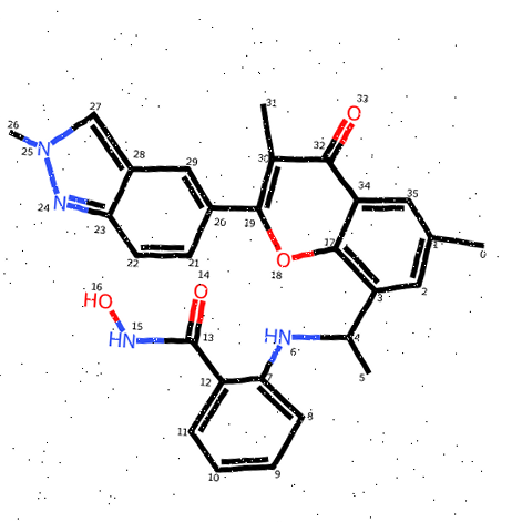 Cc1cc(C(C)Nc2ccccc2C(=O)NO)c2oc(-c3ccc4nn(C)cc4c3)c(C)c(=O)c2c1